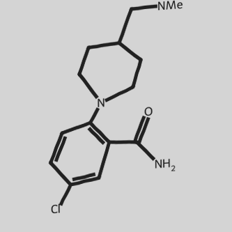 CNCC1CCN(c2ccc(Cl)cc2C(N)=O)CC1